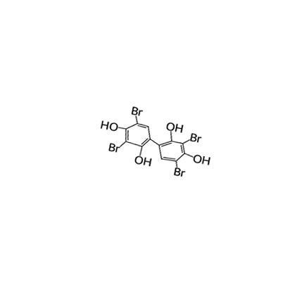 Oc1c(Br)cc(-c2cc(Br)c(O)c(Br)c2O)c(O)c1Br